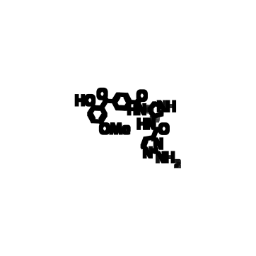 COc1ccc(O)c(C(=O)c2ccc(C(=O)N[C@@H]3CNC[C@H]3NC(=O)c3ccnc(N)n3)cc2)c1